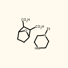 CCN1CCNCC1.O=C(O)C1C2CCC(O2)C1C(=O)O